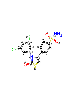 NS(=O)(=O)c1ccc(-c2csc(=O)n2-c2cc(Cl)cc(Cl)c2)cc1